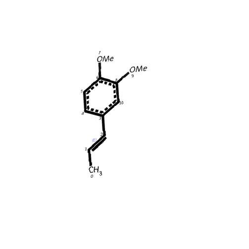 C/C=C/c1ccc(OC)c(OC)c1